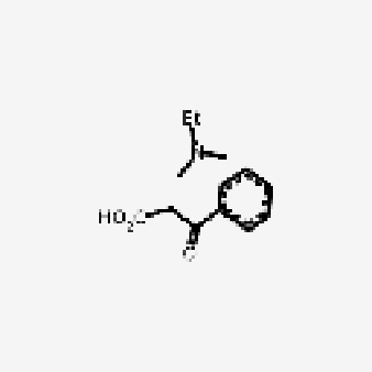 CCN(C)C.O=C(O)CC(=O)c1ccccc1